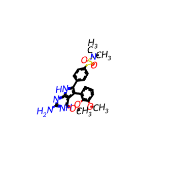 COc1cccc(-c2c(-c3ccc(S(=O)(=O)N(C)C)cc3)[nH]c3nc(N)[nH]c(=O)c23)c1OC